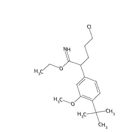 CCOC(=N)C(CCCCl)c1ccc(C(C)(C)C)c(OC)c1